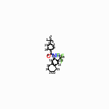 CC(C)(C)c1ccc(C(=O)Nc2cc3c(cc2C(F)(F)F)CCCCC3)cc1